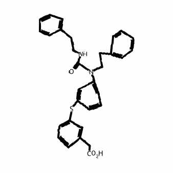 O=C(O)Cc1cccc(Sc2cccc(N(CCc3ccccc3)C(=O)NCCc3ccccc3)c2)c1